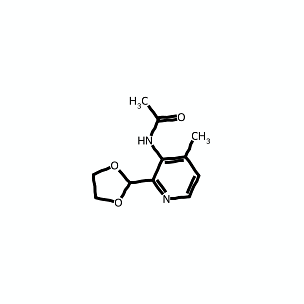 CC(=O)Nc1c(C)ccnc1C1OCCO1